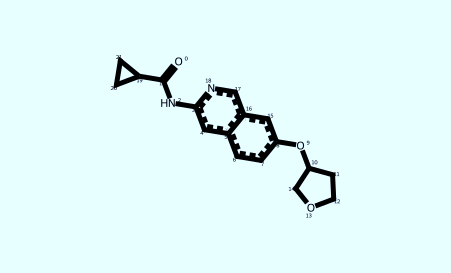 O=C(Nc1cc2ccc(OC3CCOC3)cc2cn1)C1CC1